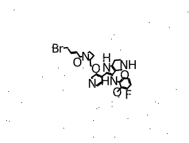 COc1c(F)cccc1Nc1c(-c2ccncc2OCC2CCN2C(=O)C=CCBr)[nH]c2c1C(=O)NCC2